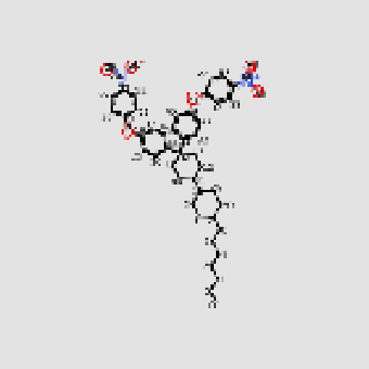 CCCCCCCC1CCC(C2CCC(c3ccc(Oc4ccc([N+](=O)[O-])cc4)cc3)(c3ccc(Oc4ccc([N+](=O)[O-])cc4)cc3)CC2)CC1